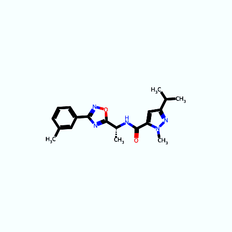 Cc1cccc(-c2noc([C@@H](C)NC(=O)c3cc(C(C)C)nn3C)n2)c1